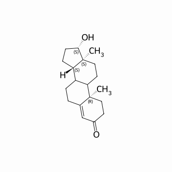 C[C@]12CCC3C(CCC4=CC(=O)CC[C@@]43C)[C@@H]1CC[C@@H]2O